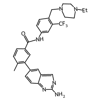 CCN1CCN(Cc2ccc(NC(=O)c3ccc(C)c(-c4ccc5nc(N)ncc5c4)c3)cc2C(F)(F)F)CC1